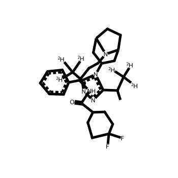 [2H]C([2H])([2H])c1nnc(C(C)C([2H])([2H])[2H])n1C1CC2CCC(C1)N2CCC(NC(=O)C1CCC(F)(F)CC1)c1ccccc1